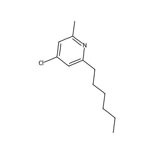 CCCCCCc1cc(Cl)cc(C)n1